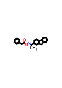 C/C(=N\OC(=O)Cc1ccccc1)c1ccc2c(c1)Cc1ccccc1-2